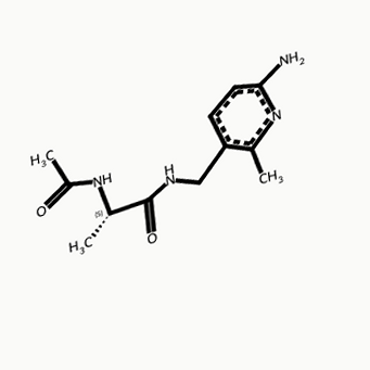 CC(=O)N[C@@H](C)C(=O)NCc1ccc(N)nc1C